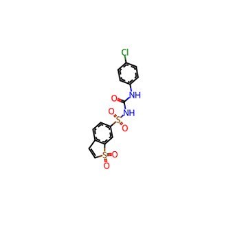 O=C(Nc1ccc(Cl)cc1)NS(=O)(=O)c1ccc2c(c1)S(=O)(=O)C=C2